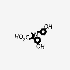 Cc1c(CC(=O)O)c2cc(O)ccc2n1Cc1cccc(O)c1